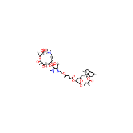 C=C(CCC(=O)O[C@H]1CC(=O)O[C@H](CCC2[C@@H]3C(=C[C@H](C)CC3OC(=O)[C@@H](C)CC)C=C[C@@H]2C)C1)OCCN(C)[C@@H]1C[C@@H](C)O[C@@H](O[C@@H]2[C@@H](C)[C@H](O)[C@@H](C)C(=O)O[C@H](CC)[C@@](C)(O)[C@H](O)[C@@H](C)N(C)C[C@H](C)C[C@@]2(C)O)[C@H]1N(C)C